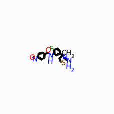 CC1(c2ccc(F)c(NC(=O)c3ccc(N=O)cc3)c2)CCSC(N)=N1